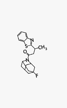 CC(CC(=O)N1C2CC3CC1CC(F)(C3)C2)c1nc2ccccc2s1